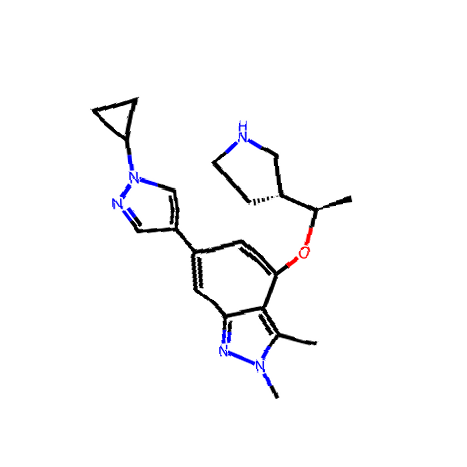 Cc1c2c(O[C@H](C)[C@@H]3CCNC3)cc(-c3cnn(C4CC4)c3)cc2nn1C